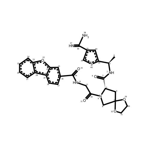 C[C@@H](NC(=O)[C@@H]1CC2(CN1C(=O)CNC(=O)c1ccc3c(c1)oc1ccccc13)OCCO2)c1cc(C(=N)N)cs1